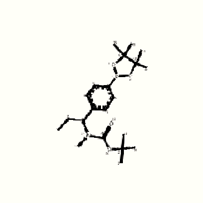 CC[C@@H](c1ccc(B2OC(C)(C)C(C)(C)O2)cc1)N(C)C(=O)OC(C)(C)C